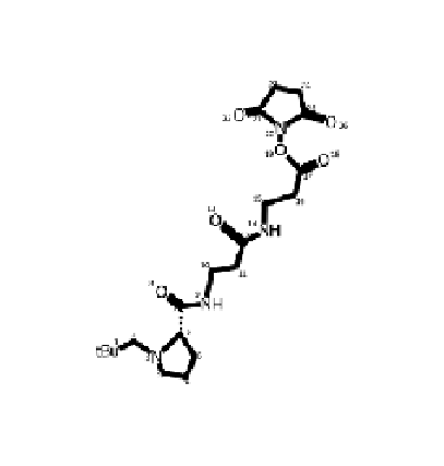 CC(C)(C)CN1CCC[C@H]1C(=O)NCCC(=O)NCCC(=O)ON1C(=O)CCC1=O